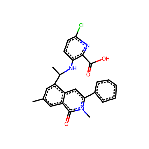 Cc1cc(C(C)Nc2ccc(Cl)nc2C(=O)O)c2cc(-c3ccccc3)n(C)c(=O)c2c1